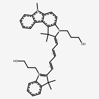 Cn1c2ccccc2c2c3c(ccc21)N(CCCO)/C(=C/C=C/C=C/C1=[N+](CCCO)c2ccccc2C1(C)C)C3(C)C